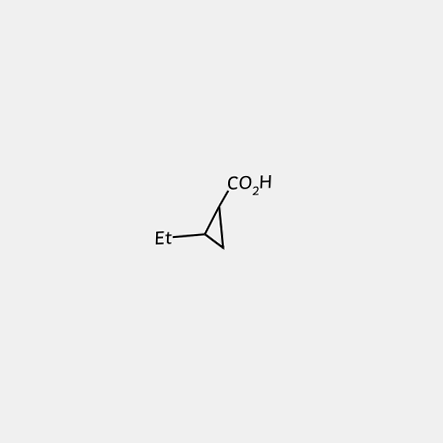 CCC1CC1C(=O)O